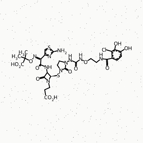 CC(C)(O/N=C(\C(=O)NC1C(=O)N(CCC(=O)O)[C@@H]1SN1CCN(NC(=O)NOCCNC(=O)c2ccc(O)c(O)c2Cl)C1=O)c1csc(N)n1)C(=O)O